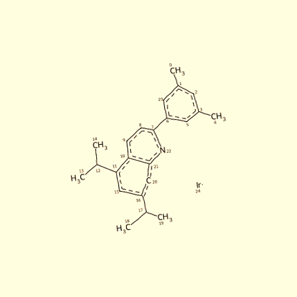 Cc1cc(C)cc(-c2ccc3c(C(C)C)cc(C(C)C)cc3n2)c1.[Ir]